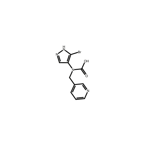 O=C(O)N(Cc1cccnc1)c1cn[nH]c1Br